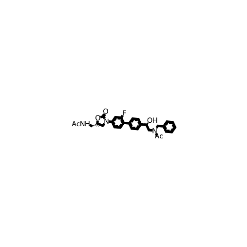 CC(=O)NC[C@H]1CN(c2ccc(-c3ccc([C@@H](O)CN(Cc4ccccc4)C(C)=O)cc3)c(F)c2)C(=O)O1